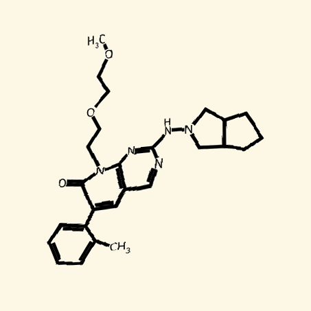 COCCOCCn1c(=O)c(-c2ccccc2C)cc2cnc(NN3CC4CCCC4C3)nc21